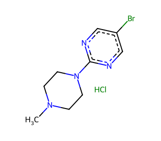 CN1CCN(c2ncc(Br)cn2)CC1.Cl